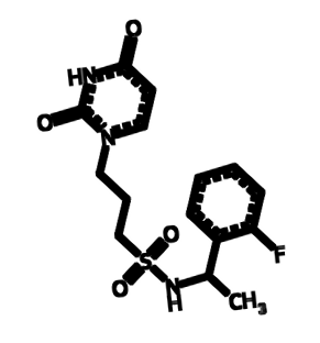 CC(NS(=O)(=O)CCCn1ccc(=O)[nH]c1=O)c1ccccc1F